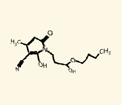 CCCCOC(O)CCn1c(O)c(C#N)c(C)cc1=O